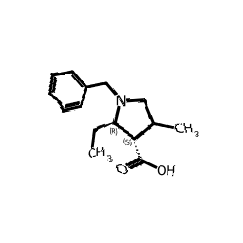 CC[C@@H]1[C@@H](C(=O)O)C(C)CN1Cc1ccccc1